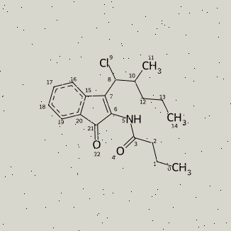 CCCC(=O)NC1=C(C(Cl)C(C)CCC)c2ccccc2C1=O